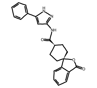 O=C1O[C@]2(CC[C@H](C(=O)Nc3cc(-c4ccccc4)[nH]n3)CC2)c2ccccc21